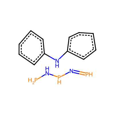 P=NPNP.c1ccc(Nc2ccccc2)cc1